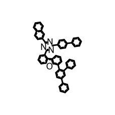 c1ccc(-c2ccc(-c3nc(-c4ccc5ccccc5c4)nc(-c4cccc5oc6c(-c7ccc(-c8ccccc8)cc7-c7ccccc7)cccc6c45)n3)cc2)cc1